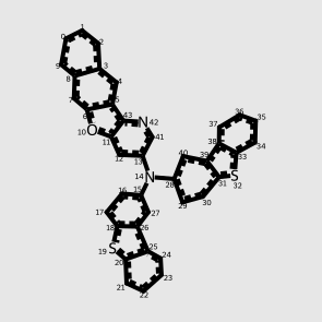 c1ccc2cc3c(cc2c1)oc1cc(N(c2ccc4sc5ccccc5c4c2)c2ccc4sc5ccccc5c4c2)cnc13